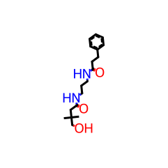 CC(C)(CO)CC(=O)NCCCNC(=O)CCc1ccccc1